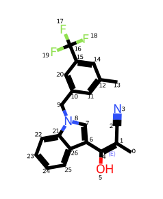 C/C(C#N)=C(\O)c1cn(Cc2cc(C)cc(C(F)(F)F)c2)c2ccccc12